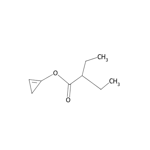 CCC(CC)C(=O)OC1=CC1